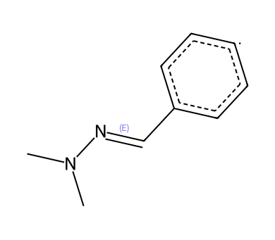 CN(C)/N=C/c1cc[c]cc1